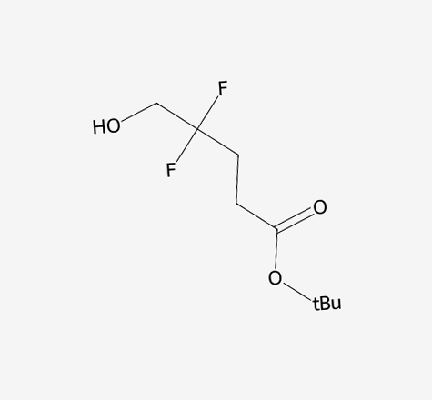 CC(C)(C)OC(=O)CCC(F)(F)CO